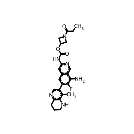 CCC(=O)N1CC(OC(=O)Nc2cc3cc(-c4cnc5c(c4C)NCCC5)c(F)c(N)c3cn2)C1